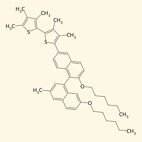 CCCCCCOc1ccc2cc(C)cc(-c3c(OCCCCCC)ccc4cc(-c5sc(-c6sc(C)c(C)c6C)c(C)c5C)ccc34)c2c1